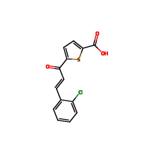 O=C(O)c1ccc(C(=O)/C=C/c2ccccc2Cl)s1